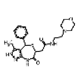 Cc1[nH]nc2c1C(c1ccccc1)SC(CC(=O)NCCN1CCOCC1)C(=O)N2